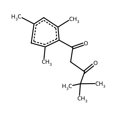 Cc1cc(C)c(C(=O)CC(=O)C(C)(C)C)c(C)c1